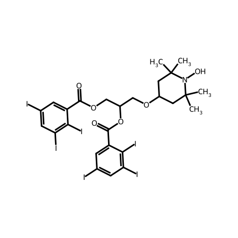 CC1(C)CC(OCC(COC(=O)c2cc(I)cc(I)c2I)OC(=O)c2cc(I)cc(I)c2I)CC(C)(C)N1O